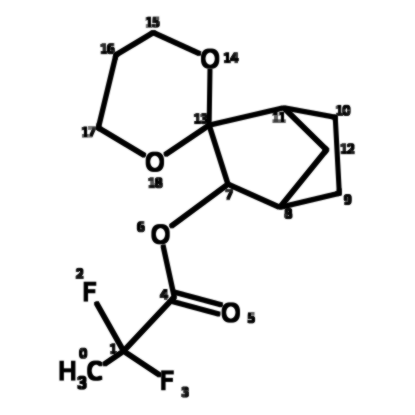 CC(F)(F)C(=O)OC1C2CCC(C2)C12OCCCO2